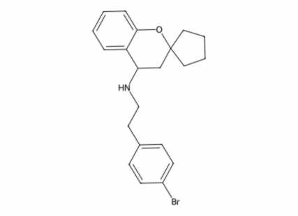 Brc1ccc(CCNC2CC3(CCCC3)Oc3ccccc32)cc1